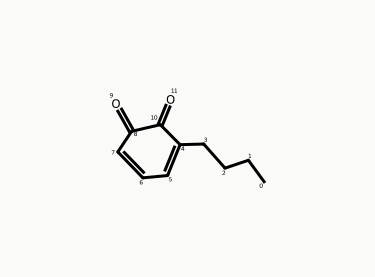 CCCCC1=CC=CC(=O)C1=O